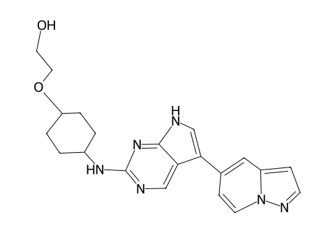 OCCOC1CCC(Nc2ncc3c(-c4ccn5nccc5c4)c[nH]c3n2)CC1